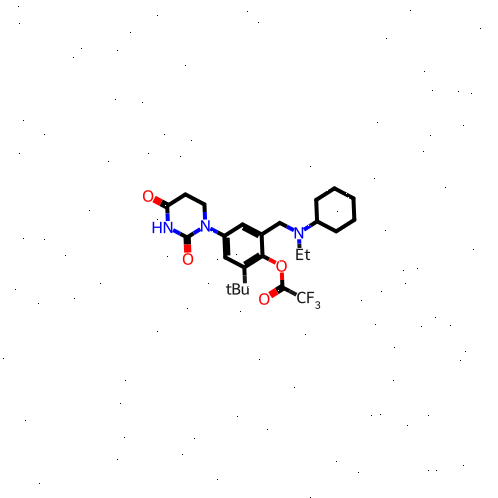 CCN(Cc1cc(N2CCC(=O)NC2=O)cc(C(C)(C)C)c1OC(=O)C(F)(F)F)C1CCCCC1